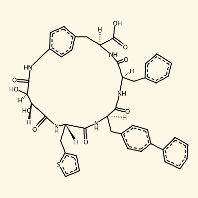 O=C(O)[C@@H]1Cc2ccc(cc2)NC(=O)[C@H](O)[C@@H](O)C(=O)N[C@@H](Cc2cccs2)C(=O)N[C@H](Cc2ccc(-c3ccccc3)cc2)C(=O)N[C@H](Cc2ccccc2)C(=O)N1